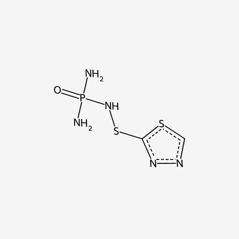 NP(N)(=O)NSc1nncs1